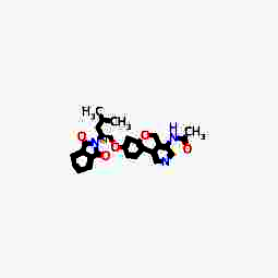 CC(=O)Nc1cncc2c1COc1cc(OC[C@H](CC(C)C)N3C(=O)c4ccccc4C3=O)ccc1-2